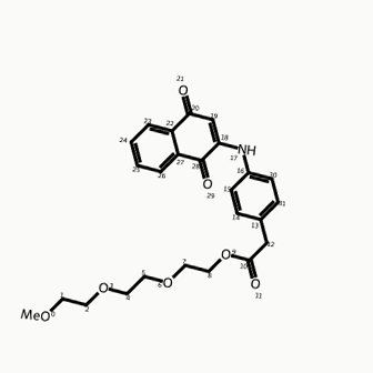 COCCOCCOCCOC(=O)Cc1ccc(NC2=CC(=O)c3ccccc3C2=O)cc1